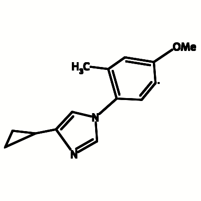 COc1[c]cc(-n2cnc(C3CC3)c2)c(C)c1